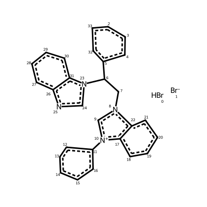 Br.[Br-].c1ccc(C(Cn2c[n+](-c3ccccc3)c3ccccc32)n2cnc3ccccc32)cc1